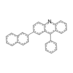 c1ccc(-c2c3ccccc3nc3ccc(-c4ccc5ccccc5c4)cc23)cc1